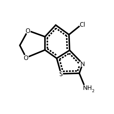 Nc1nc2c(Cl)cc3c(c2s1)OCO3